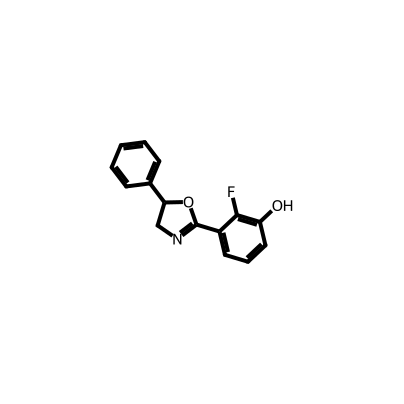 Oc1cccc(C2=NCC(c3ccccc3)O2)c1F